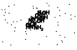 Nc1nc2c(ncn2[C@@H]2O[C@@H]3C(O)[C@]3(O)[C@@H]2O)c(=O)[nH]1